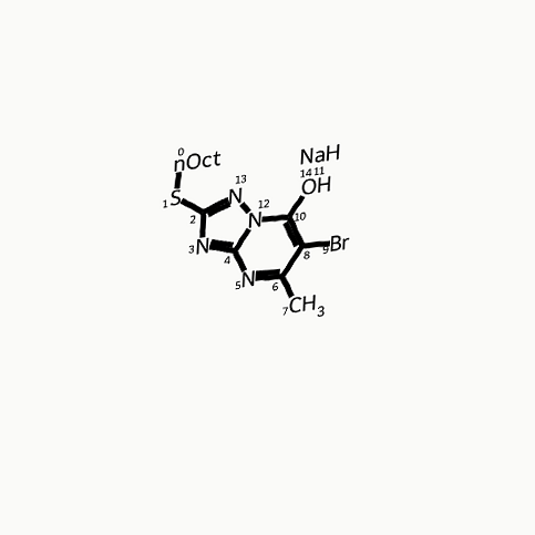 CCCCCCCCSc1nc2nc(C)c(Br)c(O)n2n1.[NaH]